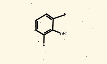 CCCc1c(F)[c]ccc1F